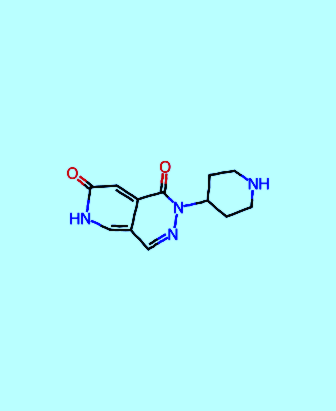 O=c1cc2c(=O)n(C3CCNCC3)ncc2c[nH]1